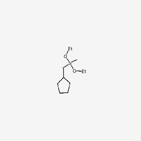 CCO[Si](C)([CH]C1CCCC1)OCC